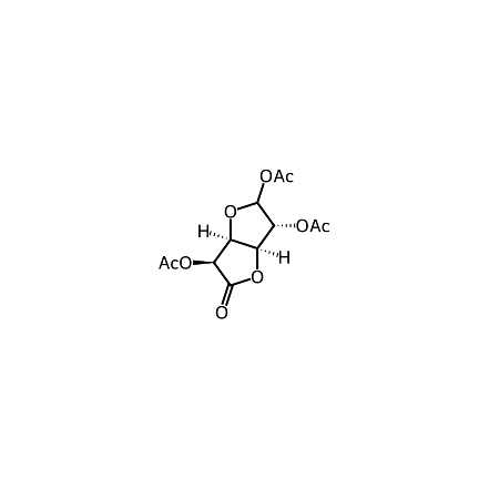 CC(=O)OC1O[C@H]2[C@H](OC(=O)[C@H]2OC(C)=O)[C@H]1OC(C)=O